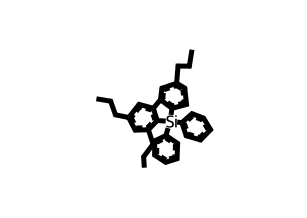 CCCc1ccc2c(c1)-c1cc(CCC)cc(CCC)c1[Si]2(c1ccccc1)c1ccccc1